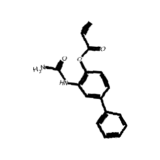 C=CC(=O)Oc1ccc(-c2ccccc2)cc1NC(N)=O